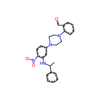 CC(Nc1cc(N2CCN(c3ccccc3C=O)CC2)ccc1[N+](=O)[O-])c1ccccc1